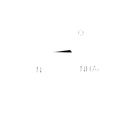 CC(=O)NC(=O)[C@@H]1CCCN1C